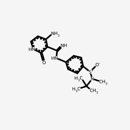 CN([S+]([O-])c1ccc(NC(=N)c2c(N)cc[nH]c2=O)cc1)C(C)(C)C